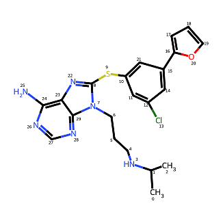 CC(C)NCCCn1c(Sc2cc(Cl)cc(-c3ccco3)c2)nc2c(N)ncnc21